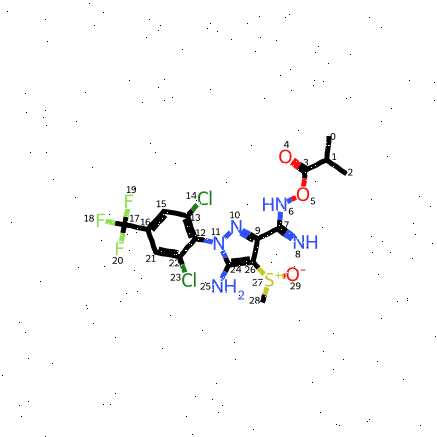 CC(C)C(=O)ONC(=N)c1nn(-c2c(Cl)cc(C(F)(F)F)cc2Cl)c(N)c1[S+](C)[O-]